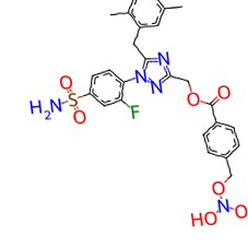 Cc1ccc(C)c(Cc2nc(COC(=O)c3ccc(CON(O)O)cc3)nn2-c2ccc(S(N)(=O)=O)cc2F)c1